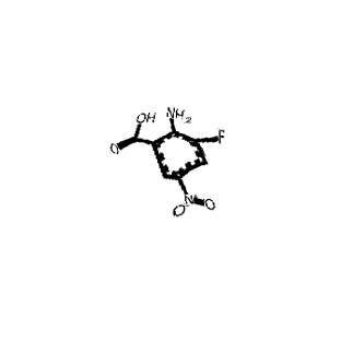 Nc1c(F)cc([N+](=O)[O-])cc1C(=O)O